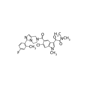 Cc1cc(F)ccc1-c1ncc2n1CCN(C(=O)c1cc3c(C(=O)C(=O)N(C)C)cn(C)c3cc1Cl)C2